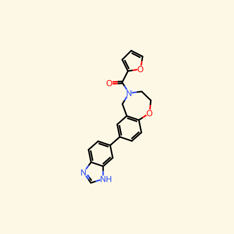 O=C(c1ccco1)N1CCOc2ccc(-c3ccc4nc[nH]c4c3)cc2C1